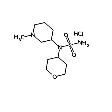 CN1CCCC(N(C2CCOCC2)S(N)(=O)=O)C1.Cl